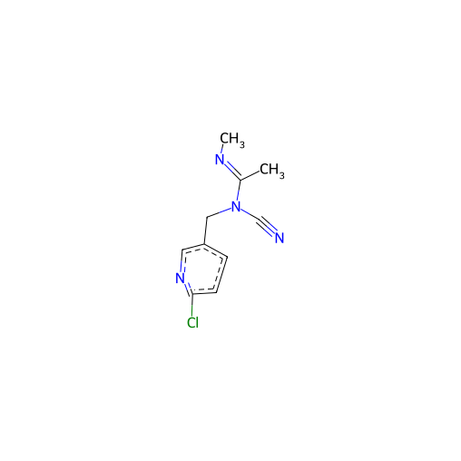 CN=C(C)N(C#N)Cc1ccc(Cl)nc1